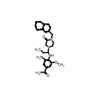 CCC(Nc1c(N)cc(C(N)=O)cc1OC)N1CCN(Cc2ccc3ccccc3c2)C(=O)C1